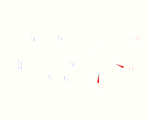 CNc1ncnc2c1nnn2[C@@H]1O[C@H](CO)[C@@H](O)[C@H]1O